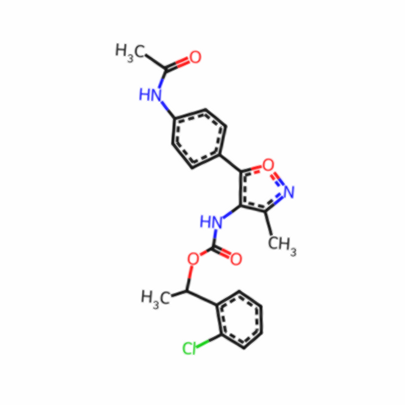 CC(=O)Nc1ccc(-c2onc(C)c2NC(=O)OC(C)c2ccccc2Cl)cc1